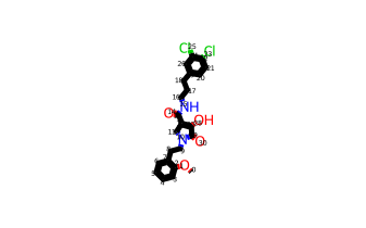 COc1ccccc1CCN1CC(C(=O)NCCCc2ccc(Cl)c(Cl)c2)=C(O)C1=O